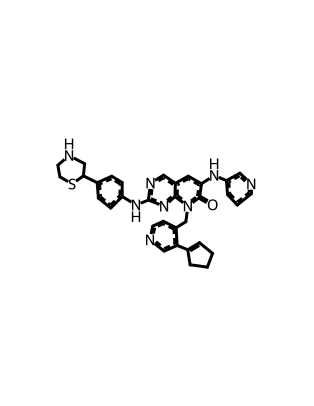 O=c1c(Nc2cccnc2)cc2cnc(Nc3ccc(C4CNCCS4)cc3)nc2n1Cc1ccncc1C1=CCCC1